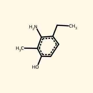 CCc1ccc(O)c(C)c1N